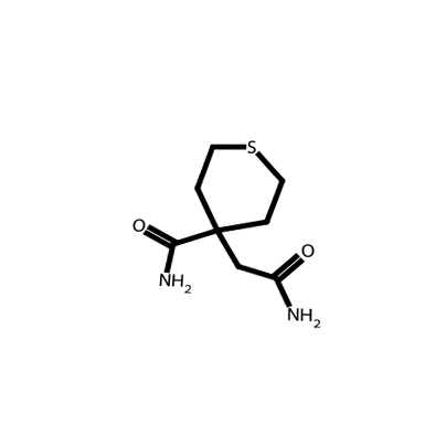 NC(=O)CC1(C(N)=O)CCSCC1